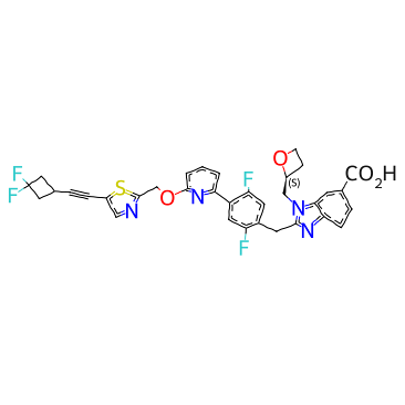 O=C(O)c1ccc2nc(Cc3cc(F)c(-c4cccc(OCc5ncc(C#CC6CC(F)(F)C6)s5)n4)cc3F)n(C[C@@H]3CCO3)c2c1